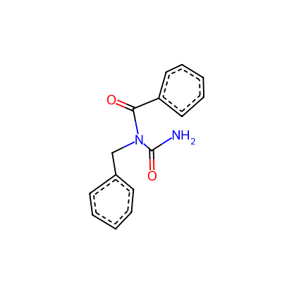 NC(=O)N(Cc1ccccc1)C(=O)c1ccccc1